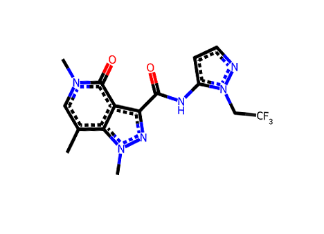 Cc1cn(C)c(=O)c2c(C(=O)Nc3ccnn3CC(F)(F)F)nn(C)c12